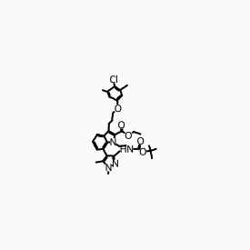 CCOC(=O)c1c(CCCOc2cc(C)c(Cl)c(C)c2)c2cccc(-c3c(C)nn(C)c3C)c2n1CCNC(=O)OC(C)(C)C